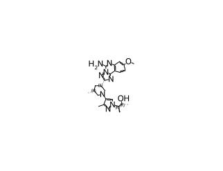 COc1ccc2c(c1)nc(N)n1nc([C@H]3C[C@@H](C)CN(c4cn([C@H](C)[C@@H](C)O)nc4C)C3)nc21